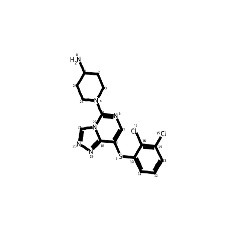 NC1CCN(c2ncc(Sc3cccc(Cl)c3Cl)c3nncn23)CC1